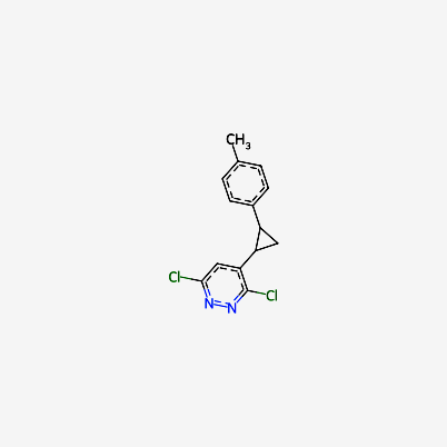 Cc1ccc(C2CC2c2cc(Cl)nnc2Cl)cc1